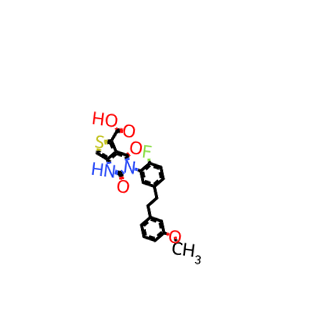 COc1cccc(CCc2ccc(F)c(-n3c(=O)[nH]c4csc(C(=O)O)c4c3=O)c2)c1